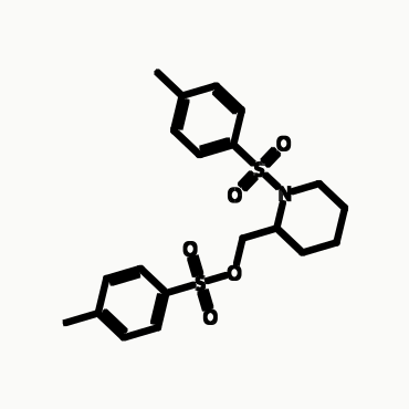 Cc1ccc(S(=O)(=O)OCC2CCCCN2S(=O)(=O)c2ccc(C)cc2)cc1